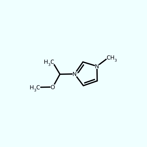 COC(C)[n+]1ccn(C)c1